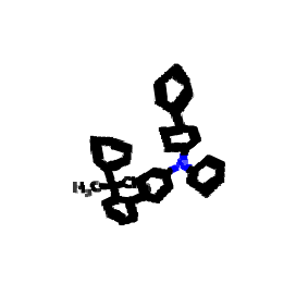 CC(C)(c1ccccc1)c1ccccc1-c1ccc(N(c2ccccc2)c2ccc(-c3ccccc3)cc2)cc1